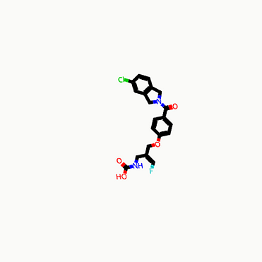 O=C(O)NCC(=CF)COc1ccc(C(=O)N2Cc3ccc(Cl)cc3C2)cc1